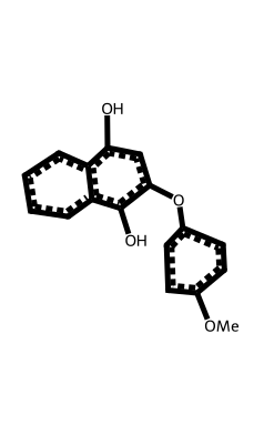 COc1ccc(Oc2cc(O)c3ccccc3c2O)cc1